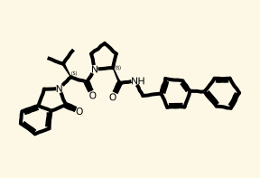 CC(C)[C@@H](C(=O)N1CCC[C@H]1C(=O)NCc1ccc(-c2ccccc2)cc1)N1Cc2ccccc2C1=O